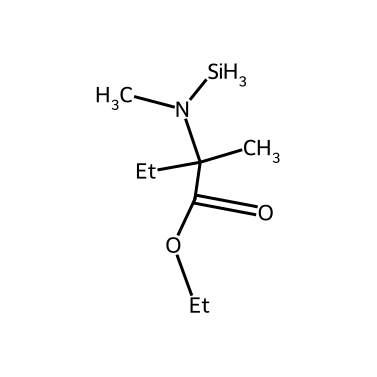 CCOC(=O)C(C)(CC)N(C)[SiH3]